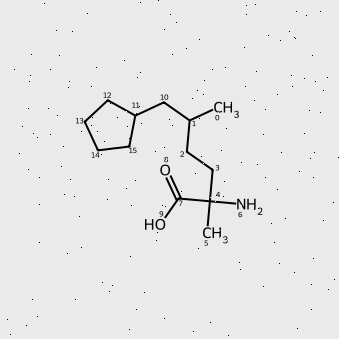 CC(CCC(C)(N)C(=O)O)CC1CCCC1